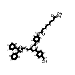 O=C(CCCCCCC(=O)Nc1ccc(C2OC(CSc3nc(-c4ccccc4)c(-c4ccccc4)o3)CC(c3ccc(CO)cc3)O2)cc1)NO